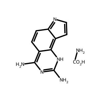 NC(=O)O.Nc1nc(N)c2ccc3nccc3c2[nH]1